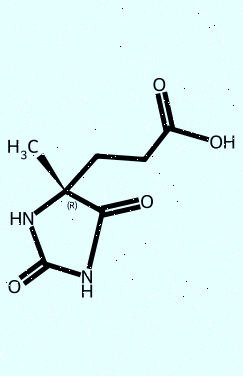 C[C@]1(CCC(=O)O)NC(=O)NC1=O